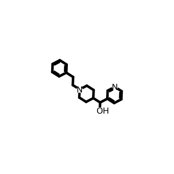 OC(c1cccnc1)C1CCN(CCc2ccccc2)CC1